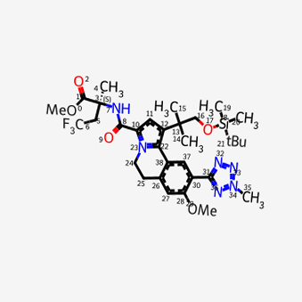 COC(=O)[C@](C)(CC(F)(F)F)NC(=O)c1cc(C(C)(C)CO[Si](C)(C)C(C)(C)C)c2n1CCc1cc(OC)c(-c3nnn(C)n3)cc1-2